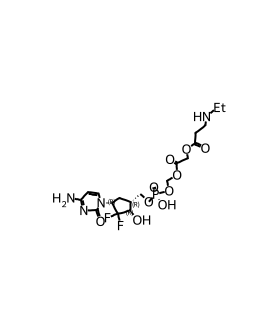 CCNCCC(=O)OCC(=O)OCOP(=O)(O)OC[C@H]1C[C@@H](n2ccc(N)nc2=O)C(F)(F)[C@@H]1O